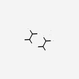 O=C([O-])C(O)C(O)C(=O)[O-].O=C([O-])C(O)C(O)C(=O)[O-].[Cu+2].[K+].[Na+]